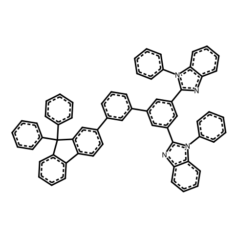 c1ccc(-n2c(-c3cc(-c4cccc(-c5ccc6c(c5)C(c5ccccc5)(c5ccccc5)c5ccccc5-6)c4)cc(-c4nc5ccccc5n4-c4ccccc4)c3)nc3ccccc32)cc1